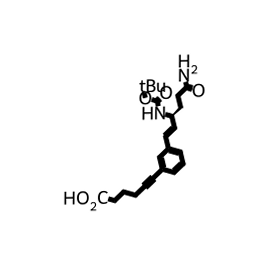 CC(C)(C)OC(=O)N[C@H](/C=C/c1cccc(C#CCCCC(=O)O)c1)CCC(N)=O